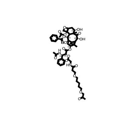 CC(=O)COCCCCCOCCC(=O)NCC(=O)O[C@@H](C(=O)O[C@H]1C[C@@]2(O)[C@@H](OC(=O)c3ccccc3)C3C(C)(C(=O)[C@H](O)C(=C1C)C2(C)C)[C@@H](O)CC1OC[C@]13OC(C)=O)[C@@H](NC(C)=O)c1ccccc1